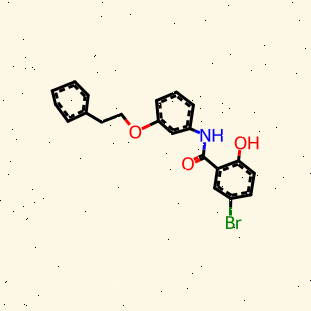 O=C(Nc1cccc(OCCc2ccccc2)c1)c1cc(Br)ccc1O